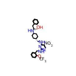 O=[N+]([O-])c1cnc(NCc2ccccc2OC(F)(F)F)nc1NC[C@H]1CC[C@H](N[C@@H](CO)Cc2ccccc2)CC1